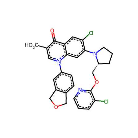 O=C(O)c1cn(-c2ccc3c(c2)COC3)c2cc(N3CCC[C@@H]3COc3ncccc3Cl)c(Cl)cc2c1=O